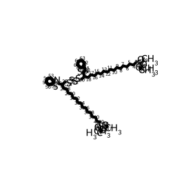 CO[Si](CCCCCCCCCCCCCCCCC(CSSSSCC(CCCCCCCCCCCCCCCC[Si](OC)(OC)OC)c1nc2ccccc2s1)c1nc2ccccc2s1)(OC)OC